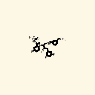 CCc1cccc(CNCC(C(N)Cc2cc(F)cc(F)c2)n2cc(NC(C)=O)c3cc(F)ccc32)c1